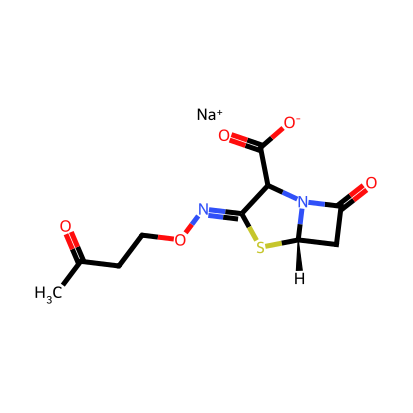 CC(=O)CCON=C1S[C@H]2CC(=O)N2C1C(=O)[O-].[Na+]